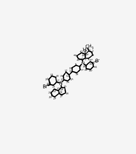 CC1CCCC2C(N(C3CCC(C4CCC(N(C5CCCC(Br)C5)C5CCCC6CCCCC65)CC4)CC3)C3CCC[C@@H](Br)C3)CCC[C@H]12